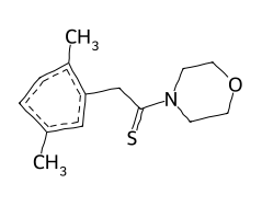 Cc1ccc(C)c(CC(=S)N2CCOCC2)c1